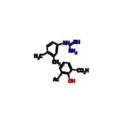 CC(=O)c1cccc(C(=O)O)c1O.Cc1ccc(NC(=N)N)cc1C